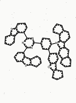 c1ccc2cc3c(cc2c1)c1ccc2ccccc2c1n3-c1ccc(-c2nc(-c3cccc4sc5ccccc5c34)nc(-c3cccc4sc5ccccc5c34)n2)cc1-c1ccc2c(c1)oc1ccccc12